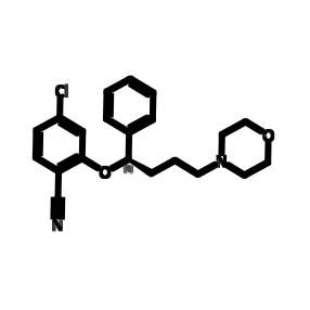 N#Cc1ccc(Cl)cc1O[C@H](CCCN1CCOCC1)c1ccccc1